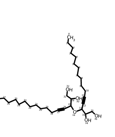 CCCCCCCCCCCC#CC(OC(C#CCCCCCCCCCCC)C(O)CO)C(O)CO